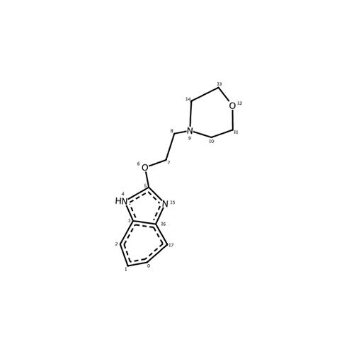 c1ccc2[nH]c(OCCN3CCOCC3)nc2c1